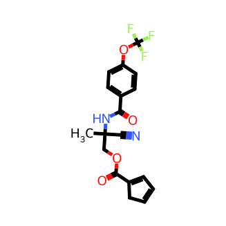 CC(C#N)(COC(=O)C1=CC=CC1)NC(=O)c1ccc(OC(F)(F)F)cc1